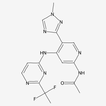 CC(=O)Nc1cc(Nc2ccnc(C(C)(F)F)n2)c(-c2ncn(C)n2)cn1